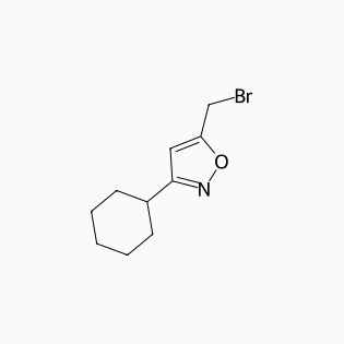 BrCc1cc(C2CCCCC2)no1